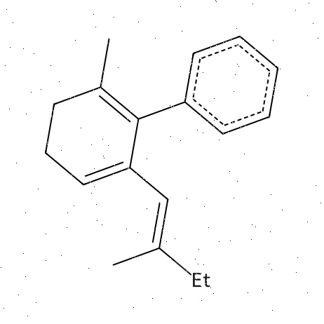 CC/C(C)=C/C1=CCCC(C)=C1c1ccccc1